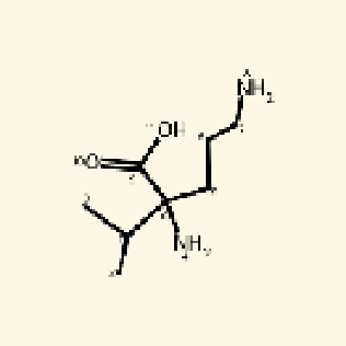 CC(C)C(N)(CCCN)C(=O)O